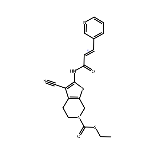 CCSC(=O)N1CCc2c(sc(NC(=O)/C=C/c3cccnc3)c2C#N)C1